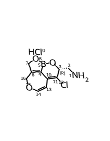 Cl.NC[C@H]1OB2OCC3=C2C(=C1Cl)C=COC3